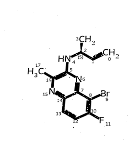 C=C[C@H](C)Nc1nc2c(Br)c(F)ccc2nc1C